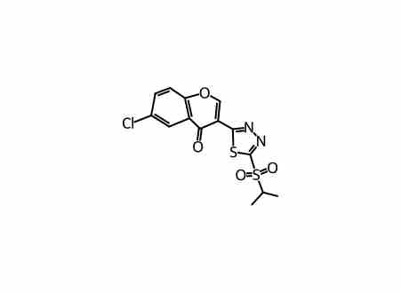 CC(C)S(=O)(=O)c1nnc(-c2coc3ccc(Cl)cc3c2=O)s1